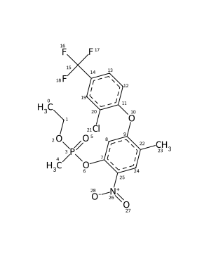 CCOP(C)(=O)Oc1cc(Oc2ccc(C(F)(F)F)cc2Cl)c(C)cc1[N+](=O)[O-]